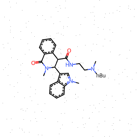 CCCCN(C)CCNC(=O)C1c2ccccc2C(=O)N(C)C1c1cn(C)c2ccccc12